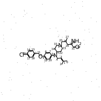 CC(C)=CCN(c1ccc(OCc2ccc(Cl)cc2)cc1)C1CCN(CC(C)CC(N)C=O)CC1